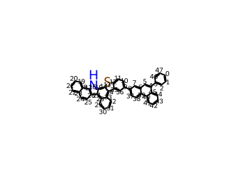 c1ccc(-c2cc3cc(-c4ccc5sc6c7[nH]c8c9ccccc9ccc8c7c7ccccc7c6c5c4)ccc3c3ccccc23)cc1